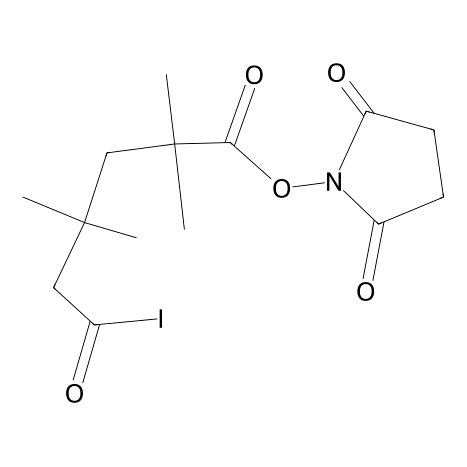 CC(C)(CC(=O)I)CC(C)(C)C(=O)ON1C(=O)CCC1=O